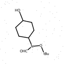 CC(C)(C)ON(C=O)C1CCC(O)CC1